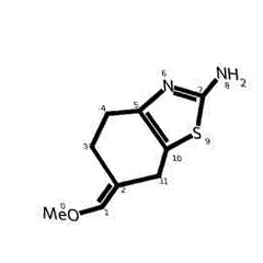 CO/C=C1\CCc2nc(N)sc2C1